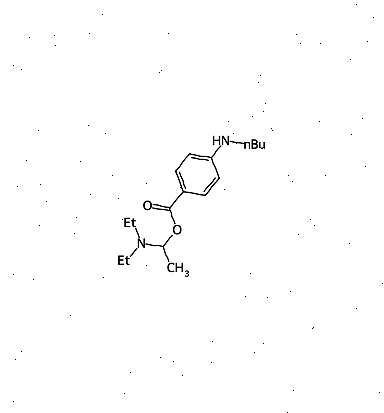 CCCCNc1ccc(C(=O)OC(C)N(CC)CC)cc1